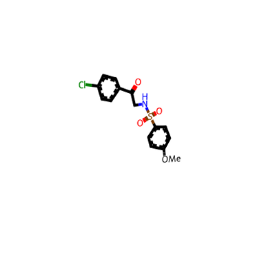 COc1ccc(S(=O)(=O)NCC(=O)c2ccc(Cl)cc2)cc1